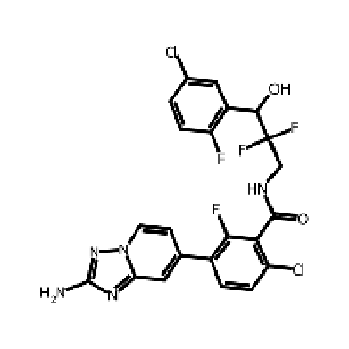 Nc1nc2cc(-c3ccc(Cl)c(C(=O)NCC(F)(F)C(O)c4cc(Cl)ccc4F)c3F)ccn2n1